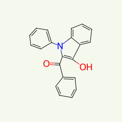 O=C(c1ccccc1)c1c(O)c2ccccc2n1-c1ccccc1